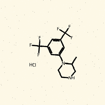 CC1CNCCN1c1cc(C(F)(F)F)cc(C(F)(F)F)c1.Cl